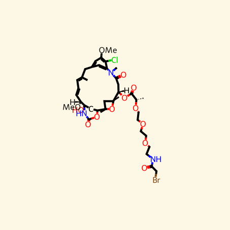 COc1cc2cc(c1Cl)N(C)C(=O)C[C@H](OC(=O)[C@H](C)OCCOCCOCCNC(=O)CBr)[C@@]1(C)CC(C)(O1)C1C[C@@](O)(NC(=O)O1)[C@H](OC)/C=C/C=C(\C)C2